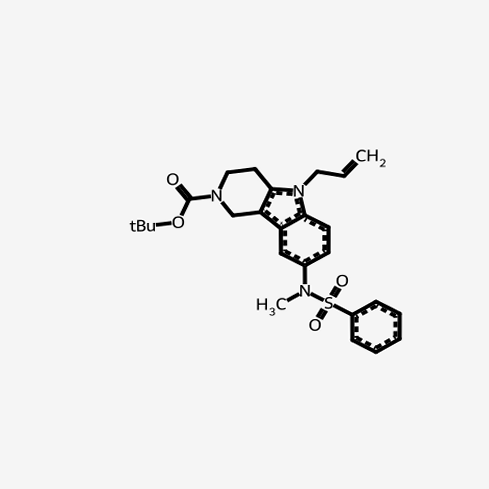 C=CCn1c2c(c3cc(N(C)S(=O)(=O)c4ccccc4)ccc31)CN(C(=O)OC(C)(C)C)CC2